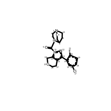 O=C(N1CCN2CCC1CC2)n1nc(-c2cc(Cl)ccc2F)c2c1COCC2